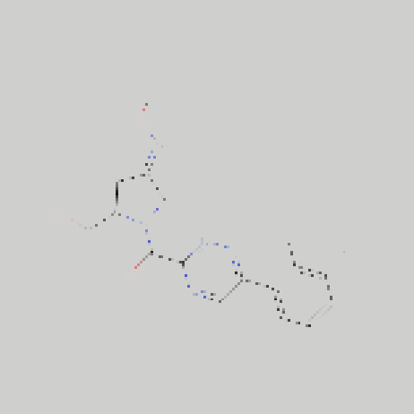 CO/N=C1\CC(CO)N(C(=O)c2ncc(-c3cccc(C)c3C)nn2)C1